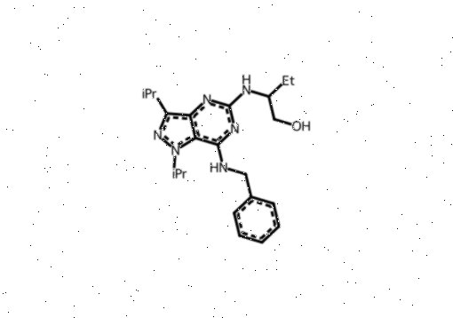 CCC(CO)Nc1nc(NCc2ccccc2)c2c(n1)c(C(C)C)nn2C(C)C